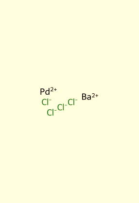 [Ba+2].[Cl-].[Cl-].[Cl-].[Cl-].[Pd+2]